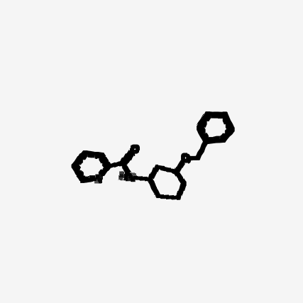 O=C(NC1CCCC(OCc2ccccc2)C1)c1ccccn1